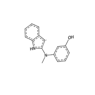 CN(c1cccc(O)c1)c1[c]c2ccccc2[nH]1